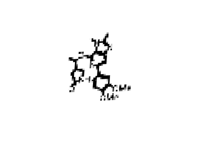 COc1ccc(-c2cc3nc(C)n(C)c3c(OC(C)C3CNC(=O)C3)n2)cc1OC